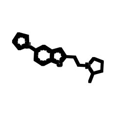 CC1CCCN1CCc1cc2cc(-n3cccc3)ccc2o1